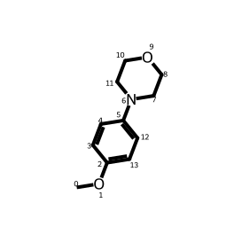 COc1ccc(N2CCOCC2)cc1